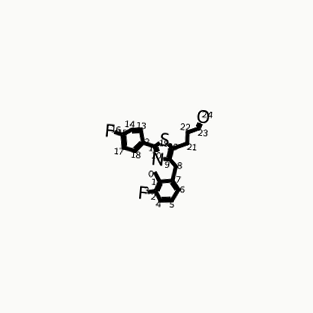 Cc1c(F)cccc1Cc1nc(-c2ccc(F)cc2)sc1CCC=O